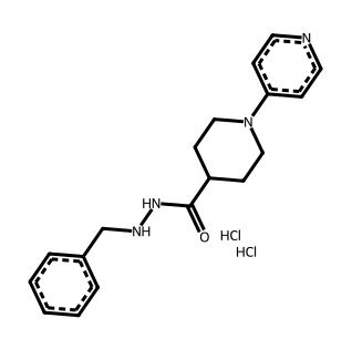 Cl.Cl.O=C(NNCc1ccccc1)C1CCN(c2ccncc2)CC1